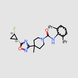 CC(C)c1cccc(C(C)C)c1NC(=O)N1CCC(C)(c2noc([C@@H]3C[C@@H]3F)n2)CC1